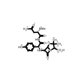 CN[C@@H](CC(N)=O)C(=O)NC(=O)[C@@H](NC1C(=O)N2C1SC(C)(C)C2C(=O)O)c1ccc(O)cc1